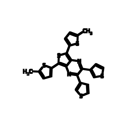 Cc1ccc(-c2sc(-c3ccc(C)s3)c3nc(-c4ccsc4)c(-c4ccsc4)nc23)s1